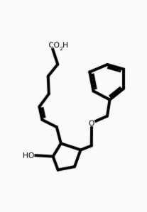 O=C(O)CCC/C=C\CC1C(O)CCC1COCc1ccccc1